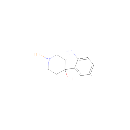 Nc1ccccc1C1(O)CCN(P)CC1